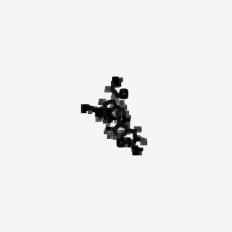 C=CC12CC[C@]3(C)[C@@H](C(=O)CBr)CC(NC(C)C)C3(C=C)[C@@H]1CC[C@]1(C)C[C@](C)(O)C(CC(C)CBr)C[C@H]21